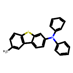 Cc1ccc2sc3cc(N(c4ccccc4)c4ccccc4)ccc3c2c1